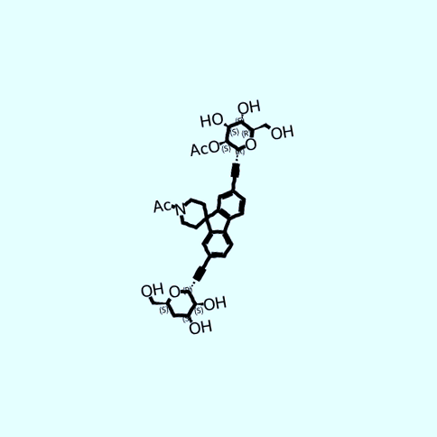 CC(=O)O[C@H]1[C@@H](O)[C@H](O)[C@@H](CO)O[C@@H]1C#Cc1ccc2c(c1)C1(CCN(C(C)=O)CC1)c1cc(C#C[C@H]3O[C@H](CO)C[C@H](O)[C@@H]3O)ccc1-2